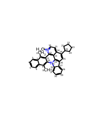 Cc1c2ccccc2c(C)c2c1c1c3c(cc[n+]1C)c(C1CCCC1)cc1c4ccccc4n2c13